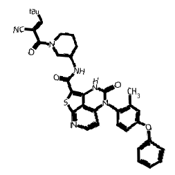 Cc1cc(Oc2ccccc2)ccc1N1C(=O)Nc2c(C(=O)NC3CCCN(C(=O)C(C#N)=CC(C)(C)C)C3)sc3nccc1c23